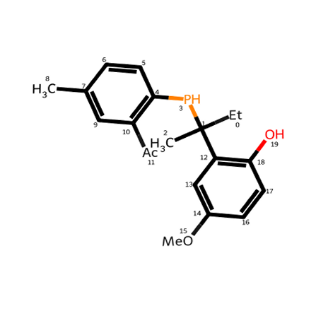 CCC(C)(Pc1ccc(C)cc1C(C)=O)c1cc(OC)ccc1O